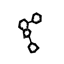 [c]1ccccc1-c1cn2c(-c3ccccc3)cccc2n1